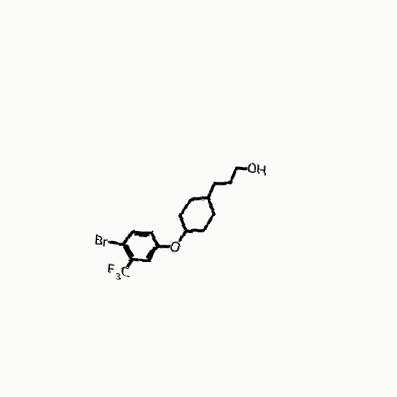 OCCCC1CCC(Oc2ccc(Br)c(C(F)(F)F)c2)CC1